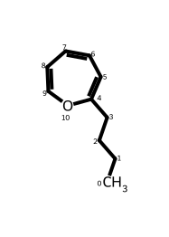 CCCCC1=CC=CC=CO1